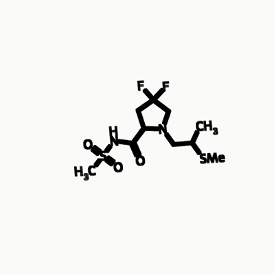 CSC(C)CN1CC(F)(F)CC1C(=O)NS(C)(=O)=O